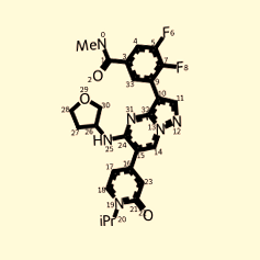 CNC(=O)c1cc(F)c(F)c(-c2cnn3cc(-c4ccn(C(C)C)c(=O)c4)c(NC4CCOC4)nc23)c1